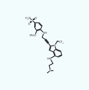 COc1cc(S(N)(=O)=O)ccc1NCC#Cc1cc2c(NCCN(C)C)cccc2n1CC(F)(F)F